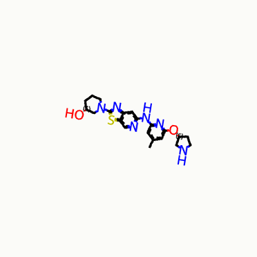 Cc1cc(Nc2cc3nc(N4CCC[C@H](O)C4)sc3cn2)nc(O[C@H]2CCNC2)c1